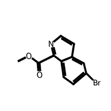 COC(=O)c1nccc2cc(Br)ccc12